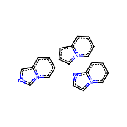 c1ccn2cccc2c1.c1ccn2ccnc2c1.c1ccn2cncc2c1